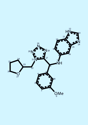 COc1cccc(C(Nc2ccc3[nH]cnc3c2)c2nnnn2CC2CCCO2)c1